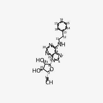 C#C[C@H]1O[C@@H](n2cnc3c(NCCc4ccccc4)ncnc32)[C@H](O)[C@@H]1O